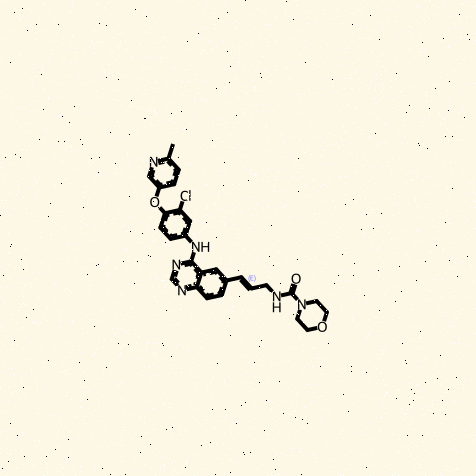 Cc1ccc(Oc2ccc(Nc3ncnc4ccc(/C=C/CNC(=O)N5CCOCC5)cc34)cc2Cl)cn1